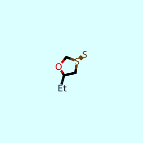 CCC1CS(=S)CO1